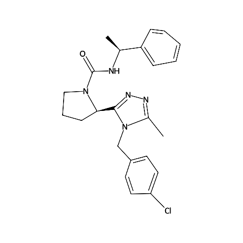 Cc1nnc([C@H]2CCCN2C(=O)N[C@@H](C)c2ccccc2)n1Cc1ccc(Cl)cc1